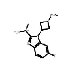 CO[C@H]1C[C@@H](n2c([C@H](C)N)nc3ccc(F)cc32)C1